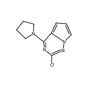 Clc1nc(N2CCCC2)c2cccn2n1